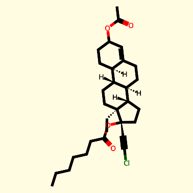 CCCCCCC(=O)O[C@@]1(C#CCl)CC[C@H]2[C@@H]3CCC4=CC(OC(C)=O)CC[C@@H]4[C@H]3CC[C@@]21CC